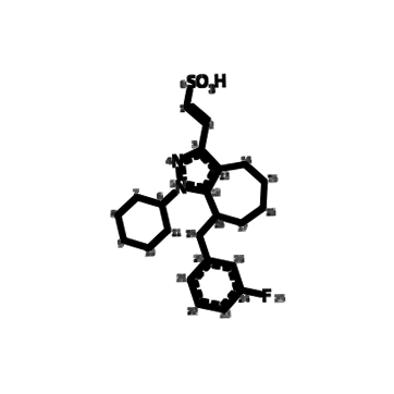 O=S(=O)(O)C=Cc1nn(C2CCCCC2)c2c1CCCCC2Cc1cccc(F)c1